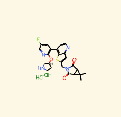 CC1(C)C2C(=O)N(Cc3cc4nccc(-c5cc(F)cnc5O[C@H]5CCNC5)c4s3)C(=O)C21.Cl.Cl